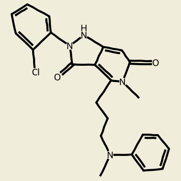 CN(CCCc1c2c(=O)n(-c3ccccc3Cl)[nH]c2cc(=O)n1C)c1ccccc1